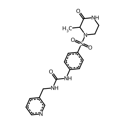 CC1C(=O)NCCN1S(=O)(=O)c1ccc(NC(=O)NCc2cccnc2)cc1